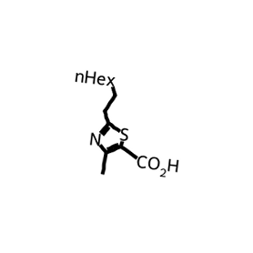 CCCCCCCCc1nc(C)c(C(=O)O)s1